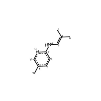 CC(C)=CNc1ccc(C)cn1